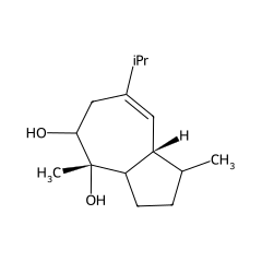 CC(C)C1=C[C@@H]2C(C)CCC2[C@](C)(O)C(O)C1